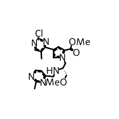 COC[C@@H](Cn1cc(-c2nc(Cl)ncc2C)cc1C(=O)OC)NCc1ccnc(C)n1